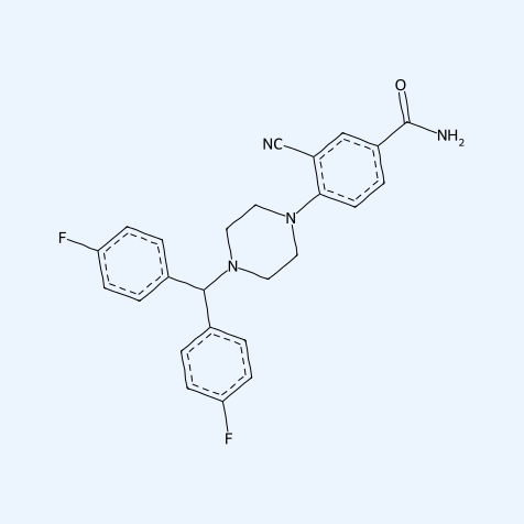 N#Cc1cc(C(N)=O)ccc1N1CCN(C(c2ccc(F)cc2)c2ccc(F)cc2)CC1